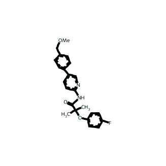 COCc1ccc(-c2ccc(NC(=O)C(C)(C)Oc3ccc(F)cc3)nc2)cc1